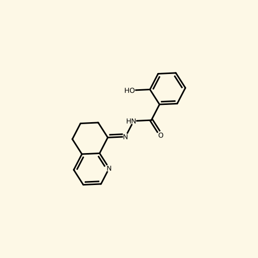 O=C(NN=C1CCCc2cccnc21)c1ccccc1O